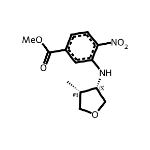 COC(=O)c1ccc([N+](=O)[O-])c(N[C@@H]2COC[C@@H]2C)c1